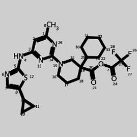 Cc1cc(Nc2ncc(C3CC3)s2)nc(N2CCCC(C(=O)OC(=O)C(F)(F)F)(C3CCCCC3)C2)n1